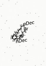 CCCCCCCCCCCCCCCCBr.CCCCCCCCCCCCCCCC[n+]1ccccc1.[Br-]